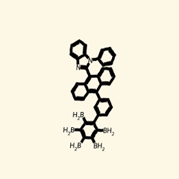 Bc1c(B)c(B)c(-c2cccc(-c3c4ccccc4c(-c4nc5ccccc5n4-c4ccccc4)c4ccccc34)c2)c(B)c1B